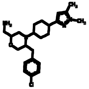 Cc1cc(C2CCC(N3CC(CN)OCC3Cc3ccc(Cl)cc3)CC2)nn1C